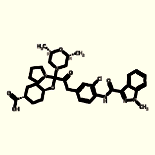 C[C@@H]1CN(C(O[C@H]2CC[C@H](C(=O)O)CC2)(C(=O)Cc2ccc(NC(=O)c3nn(C)c4ccccc34)c(Cl)c2)N2CCCC2)C[C@H](C)O1